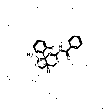 C[C@H]1OC[C@H]2CSC(NC(=O)c3ccccc3)=N[C@]21c1ccccc1F